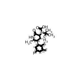 C[C@H]1NC(=O)C(N(C(=O)O)C(C)(C)C)C[C@H]1c1cc(F)cc(F)c1F